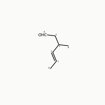 CC=CC(C)C[C]=O